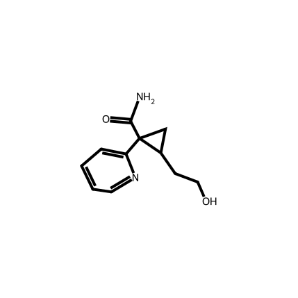 NC(=O)C1(c2ccccn2)CC1CCO